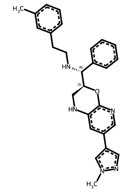 Cc1cccc(CCN[C@H](c2ccccc2)[C@@H]2CNc3cc(-c4cnn(C)c4)cnc3O2)c1